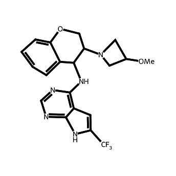 COC1CN(C2COc3ccccc3C2Nc2ncnc3[nH]c(C(F)(F)F)cc23)C1